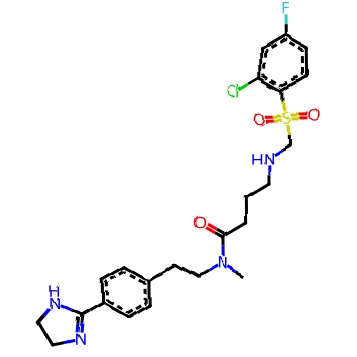 CN(CCc1ccc(C2=NCCN2)cc1)C(=O)CCCNCS(=O)(=O)c1ccc(F)cc1Cl